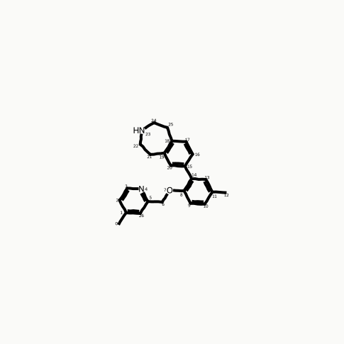 Cc1ccnc(COc2ccc(C)cc2-c2ccc3c(c2)CCNCC3)c1